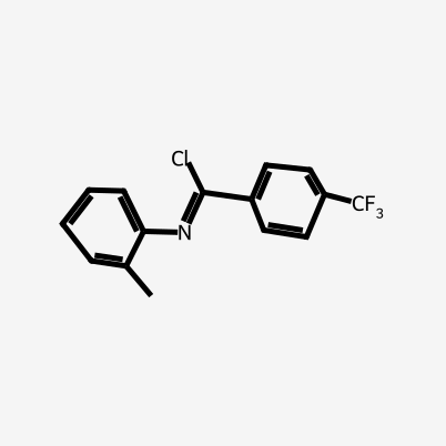 Cc1ccccc1/N=C(\Cl)c1ccc(C(F)(F)F)cc1